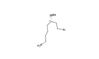 CN[C@@H](CCCCN)CCC(C)=O